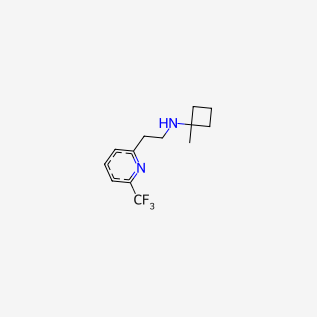 CC1(NCCc2cccc(C(F)(F)F)n2)CCC1